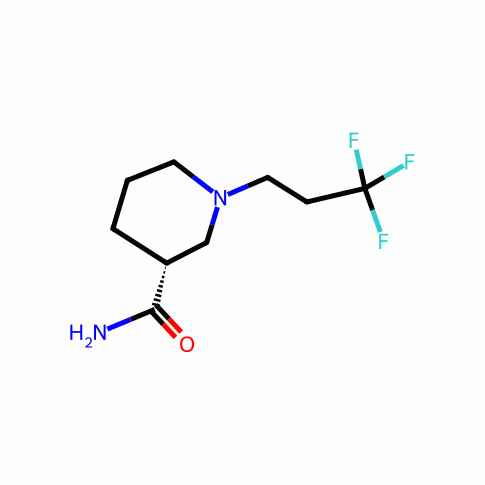 NC(=O)[C@@H]1CCCN(CCC(F)(F)F)C1